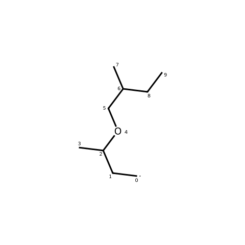 [CH2]CC(C)OCC(C)CC